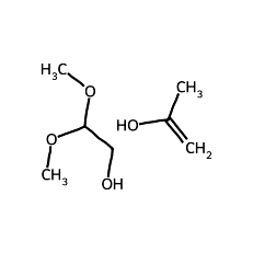 C=C(C)O.COC(CO)OC